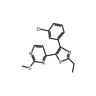 CCc1nc(-c2cccc(Cl)c2)c(-c2ccnc(SC)n2)s1